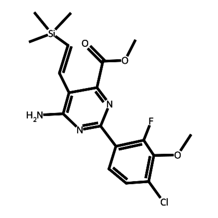 COC(=O)c1nc(-c2ccc(Cl)c(OC)c2F)nc(N)c1/C=C/[Si](C)(C)C